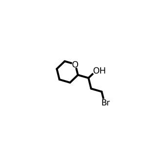 OC(CCBr)C1CCCCO1